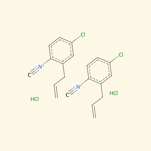 Cl.Cl.[C-]#[N+]c1ccc(Cl)cc1CC=C.[C-]#[N+]c1ccc(Cl)cc1CC=C